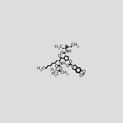 C=CCCCCC[C@H](NC(=O)OC(C)(C)C)C(=O)C1C[C@H](OC(=O)N2Cc3cc4c(cc3C2)OCO4)C[C@H]1C(=O)N[C@]1(CC)C[C@H]1C=C